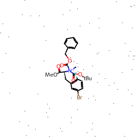 COC(=O)[C@H](Cc1cc(Br)ccc1F)[N+](C)(C(=O)OCc1ccccc1)C(=O)OC(C)(C)C